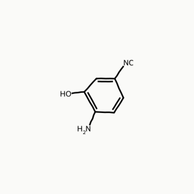 [C-]#[N+]c1ccc(N)c(O)c1